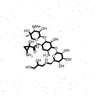 CN[C@@H]1[C@@H](O)[C@@H](O[C@H]2[C@H](NC(=O)C3(O)CC3N)C[C@H](N)C(O[C@H]3O[C@H](CNCC(O)CO)[C@@H](O)[C@H](O)[C@H]3O)[C@@H]2O)OC[C@]1(C)O